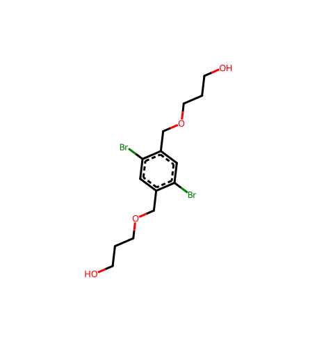 OCCCOCc1cc(Br)c(COCCCO)cc1Br